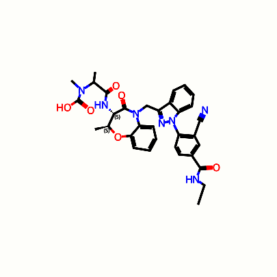 CCNC(=O)c1ccc(-n2nc(CN3C(=O)[C@@H](NC(=O)C(C)N(C)C(=O)O)[C@H](C)Oc4ccccc43)c3ccccc32)c(C#N)c1